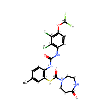 CC(C)(C)c1ccc(NC(=O)Nc2ccc(OC(F)F)c(Cl)c2Cl)c(SC(=O)N2CCNC(=O)CC2)c1